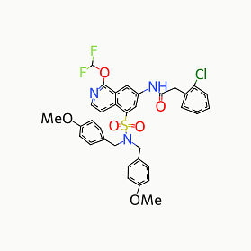 COc1ccc(CN(Cc2ccc(OC)cc2)S(=O)(=O)c2cc(NC(=O)Cc3ccccc3Cl)cc3c(OC(F)F)nccc23)cc1